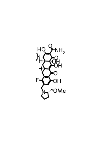 COC[C@@H]1CCCN1Cc1cc(O)c2c(c1F)C[C@H]1C[C@H]3[C@H](N(C)C)C(O)=C(C(N)=O)C(=O)[C@@]3(O)C(O)=C1C2=O